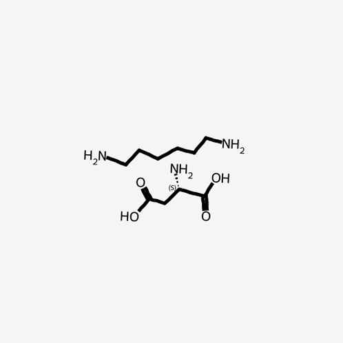 NCCCCCCN.N[C@@H](CC(=O)O)C(=O)O